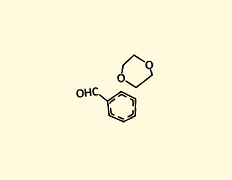 C1COCCO1.O=Cc1ccccc1